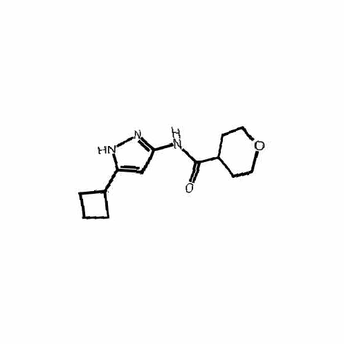 O=C(Nc1cc([C]2CCC2)[nH]n1)C1CCOCC1